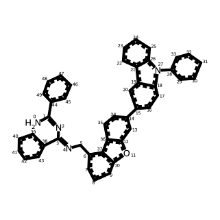 N/C(=N\C(=N/Cc1cccc2oc3cc(-c4ccc5c(c4)c4ccccc4n5-c4ccccc4)ccc3c12)c1ccccc1)c1ccccc1